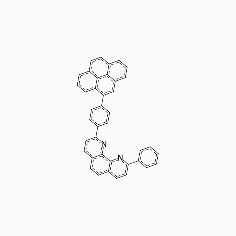 c1ccc(-c2ccc3ccc4ccc(-c5ccc(-c6cc7cccc8ccc9cccc6c9c87)cc5)nc4c3n2)cc1